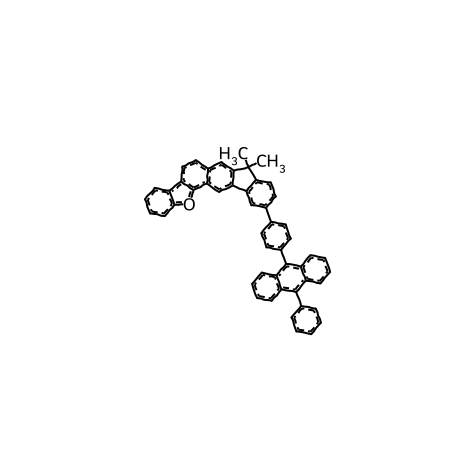 CC1(C)c2ccc(-c3ccc(-c4c5ccccc5c(-c5ccccc5)c5ccccc45)cc3)cc2-c2cc3c(ccc4c5ccccc5oc34)cc21